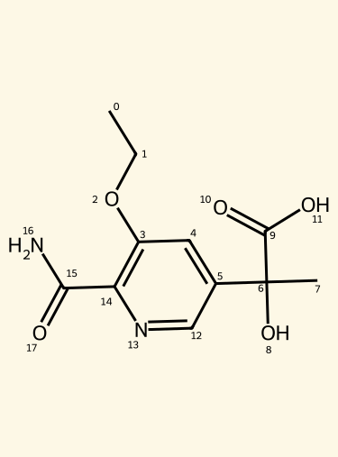 CCOc1cc(C(C)(O)C(=O)O)cnc1C(N)=O